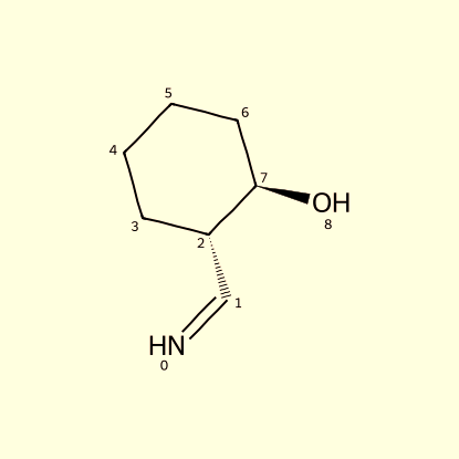 N=C[C@@H]1CCCC[C@H]1O